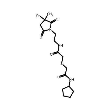 CC(C)C1(C)CC(=O)N(CCNC(=O)CSCC(=O)NC2CCCC2)C1=O